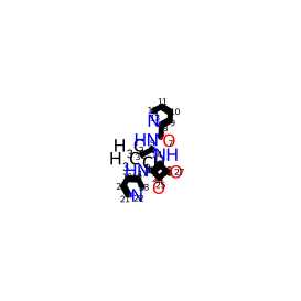 CC(C)(C)C(NC(=O)c1ccccn1)Nc1c(Nc2cccnc2)c(=O)c1=O